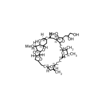 C=C1C[C@@H]2CCC3C[C@@H]4O[C@@H]5C(O[C@H]6CC[C@H](CC(=O)C[C@H]7C(C[C@H]8O[C@@H](CC[C@@H]1O2)C[C@@H](C)C8=C)O[C@H](C[C@H](O)CO)[C@@H]7OC)O[C@@H]6[C@@H]5OC)[C@@H]4O3